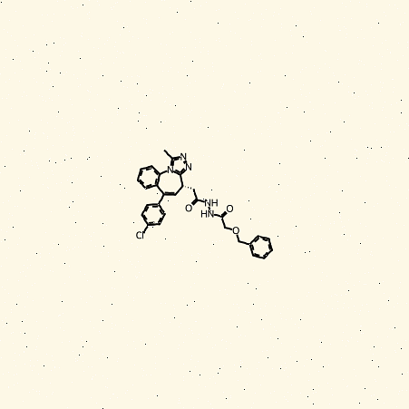 Cc1nnc2n1-c1ccccc1C(c1ccc(Cl)cc1)=C[C@H]2CC(=O)NNC(=O)COCc1ccccc1